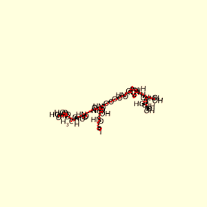 C[C@H](CCCOP(=O)(O)N[C@@H](CCC(=O)O)C(=O)O)CC(=O)NCCC[C@H](NC(=O)CCCCCNC(=O)CCC(NC(=O)CCOCCOCCOCCOCCNC(=O)CCC(=O)N1Cc2ccccc2-c2c(nnn2CCCNC(=O)CN(CCNCC(=O)O)CCN(CCNCC(=O)O)CC(=O)O)-c2ccccc21)C(=O)NC(CCCCNC(=O)CCCc1ccc(I)cc1)C(=O)O)C(=O)O